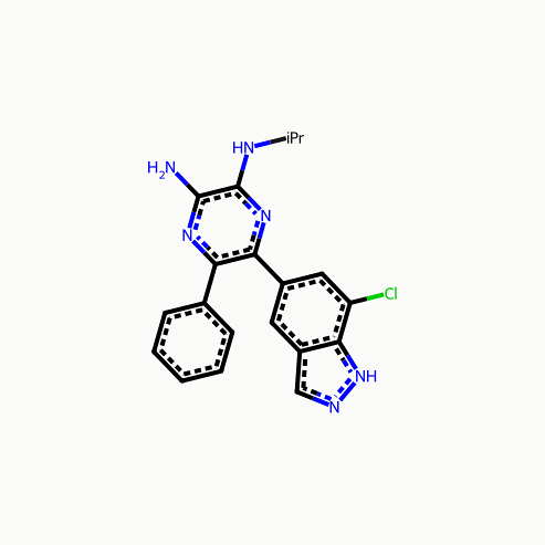 CC(C)Nc1nc(-c2cc(Cl)c3[nH]ncc3c2)c(-c2ccccc2)nc1N